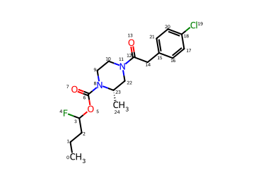 CCCC(F)OC(=O)N1CCN(C(=O)Cc2ccc(Cl)cc2)C[C@@H]1C